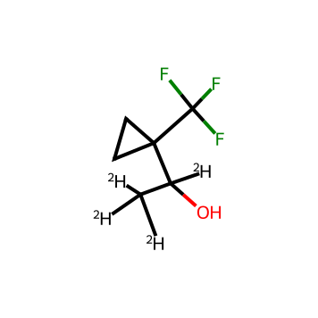 [2H]C([2H])([2H])C([2H])(O)C1(C(F)(F)F)CC1